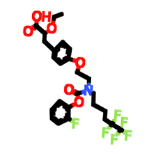 CCOC(Cc1ccc(OCCN(CCCCC(F)(F)C(F)(F)F)C(=O)Oc2ccccc2F)cc1)C(=O)O